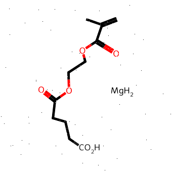 C=C(C)C(=O)OCCOC(=O)CCCC(=O)O.[MgH2]